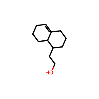 OCCC1CCCC2=CCCCC21